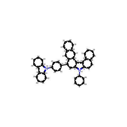 c1ccc(-n2c3ccc4ccccc4c3c3c4cc5ccccc5cc4c(-c4ccc(-n5c6ccccc6c6ccccc65)cc4)cc32)cc1